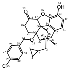 C[N@+]1(CC2CC2)CC[C@]23c4c5ccc(O)c4OC2C(=O)CCC3(OCc2ccc(Cl)cc2)C1C5